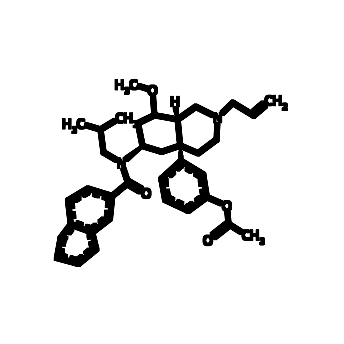 C=CCN1CC[C@@]2(c3cccc(OC(C)=O)c3)C[C@@H](N(CC(C)C)C(=O)c3ccc4ccccc4c3)CC(OC)[C@@H]2C1